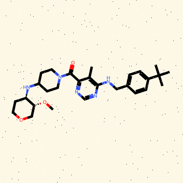 CO[C@@H]1COCC[C@H]1NC1CCN(C(=O)c2ncnc(NCc3ccc(C(C)(C)C)cc3)c2C)CC1